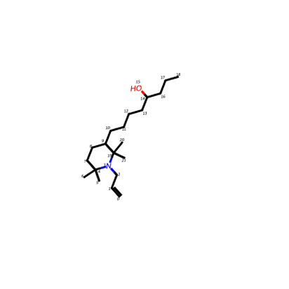 C=CCN1C(C)(C)CCC(CCCCC(O)CCC)C1(C)C